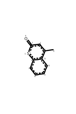 Cc1cc(=O)sc2ccccc12